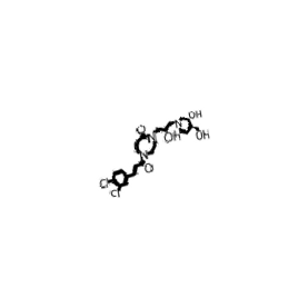 O=C(C=Cc1ccc(Cl)c(Cl)c1)N1CCC(=O)N(C[C@@H](O)CN2CC[C@H](CO)[C@H](O)C2)CC1